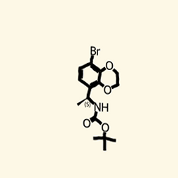 C[C@H](NC(=O)OC(C)(C)C)c1ccc(Br)c2c1OCCO2